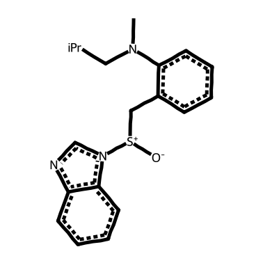 CC(C)CN(C)c1ccccc1C[S+]([O-])n1cnc2ccccc21